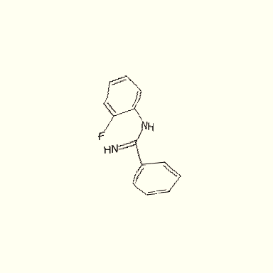 N=C(Nc1ccccc1F)c1ccccc1